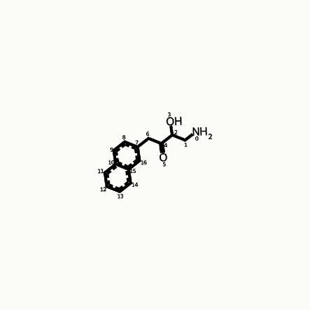 NCC(O)C(=O)Cc1ccc2ccccc2c1